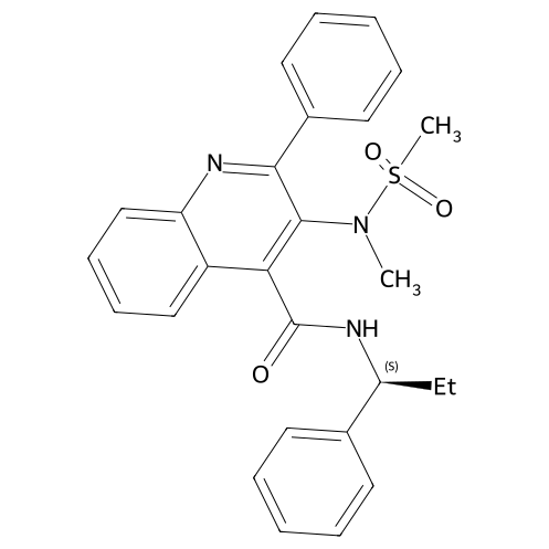 CC[C@H](NC(=O)c1c(N(C)S(C)(=O)=O)c(-c2ccccc2)nc2ccccc12)c1ccccc1